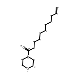 C=CCCCCCCCCC(=O)N1CCOCC1